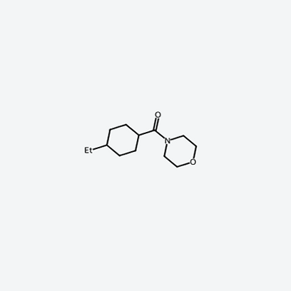 CCC1CCC(C(=O)N2CCOCC2)CC1